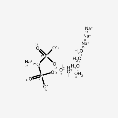 O.O.O.O.O.O.O=P([O-])([O-])OP(=O)([O-])[O-].[Na+].[Na+].[Na+].[Na+]